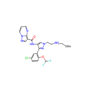 CSCCNCCn1cc(NC(=O)c2cnn3cccnc23)c(-c2cc(Cl)ccc2OC(F)F)n1